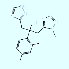 Cn1nnnc1CC(O)(Cc1nc[nH]n1)c1ccc(Cl)cc1Cl